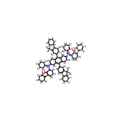 CC1(C)c2ccccc2-c2ccc(-c3c4ccc(N(c5ccccc5)c5cccc6c5oc5ccccc56)cc4c(-c4ccc5c(c4)C(C)(C)c4ccccc4-5)c4ccc(N(c5ccccc5)c5cccc6c5OC5C=CC=CC65)cc34)cc21